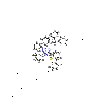 CC1(C)c2ccccc2-c2cccc(-c3cccc(-c4nc(-c5ccccc5-c5ccccc5)nc(-c5cccc6c5sc5ccccc56)n4)c3)c21